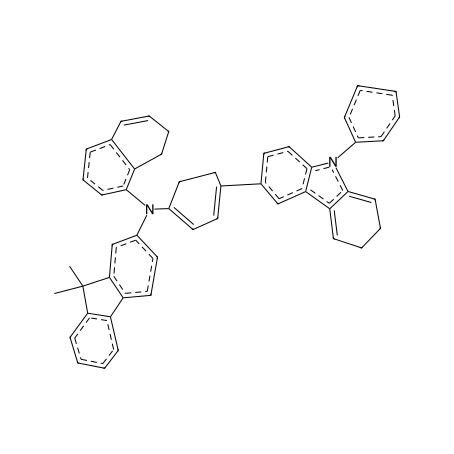 CC1(C)c2ccccc2-c2ccc(N(C3=CC=C(c4ccc5c(c4)c4c(n5-c5ccccc5)=CCCC=4)CC3)c3cccc4c3CCC=C4)cc21